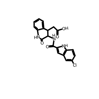 O=C(O)CC1c2ccccc2NC(=O)C1NC(=O)c1cc2cc(Cl)ccc2[nH]1